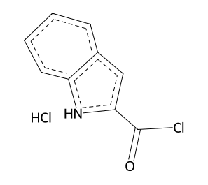 Cl.O=C(Cl)c1cc2ccccc2[nH]1